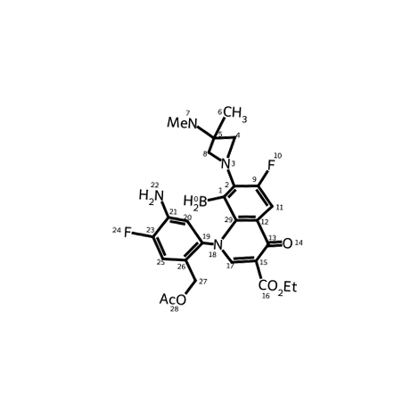 Bc1c(N2CC(C)(NC)C2)c(F)cc2c(=O)c(C(=O)OCC)cn(-c3cc(N)c(F)cc3COC(C)=O)c12